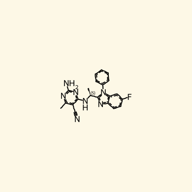 Cc1nc(N)nc(N[C@@H](C)c2nc3ccc(F)cc3n2-c2ccccc2)c1C#N